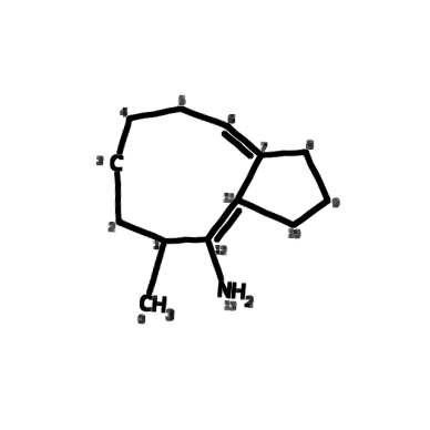 CC1CCCC/C=C2/CCC/C2=C/1N